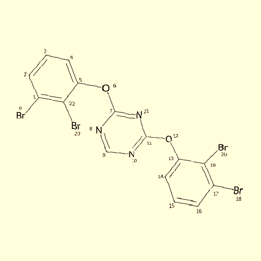 Brc1cccc(Oc2ncnc(Oc3cccc(Br)c3Br)n2)c1Br